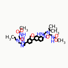 CCCN(Cc1ncc(-c2ccc3c(c2)COc2cc4c(ccc5nc(CN(C(=O)CNC(=O)OC)[C@@H](C)CC)[nH]c54)cc2-3)[nH]1)C(=O)CNC(=O)OC